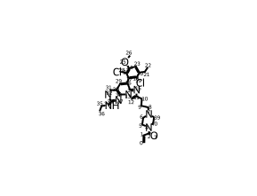 C=CC(=O)N1CCN(CCCc2cn3c(n2)c(-c2c(Cl)c(CC)cc(OC)c2Cl)cc2cnc(NCC)nc23)CC1